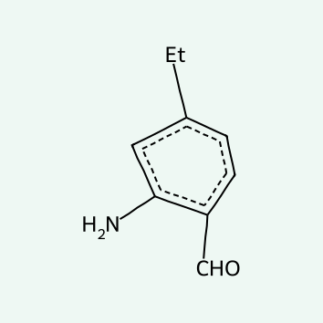 CCc1ccc(C=O)c(N)c1